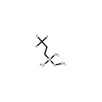 CO[Si](C)(C)CCC(F)(F)F